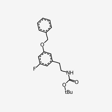 CC(C)(C)OC(=O)NCCc1cc(F)cc(OCc2ccccc2)c1